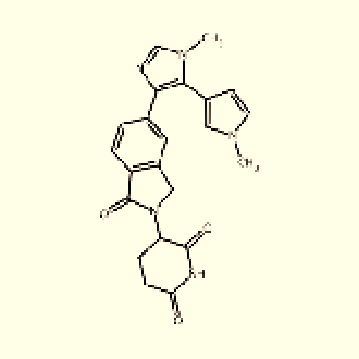 Cn1ccc(-c2c(-c3ccc4c(c3)CN(C3CCC(=O)NC3=O)C4=O)ncn2C)c1